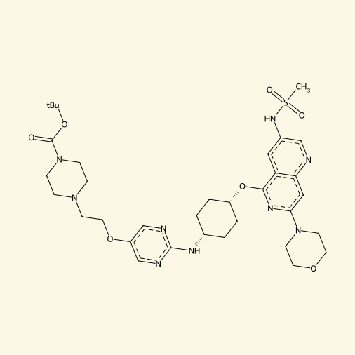 CC(C)(C)OC(=O)N1CCN(CCOc2cnc(N[C@H]3CC[C@@H](Oc4nc(N5CCOCC5)cc5ncc(NS(C)(=O)=O)cc45)CC3)nc2)CC1